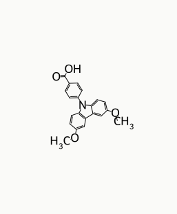 COc1ccc2c(c1)c1cc(OC)ccc1n2-c1ccc(C(=O)O)cc1